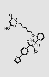 [2H]C([2H])(c1ccccc1OCCCCCC1OC(=O)C=C(O)O1)N(C(=O)c1ccc(-c2ccco2)cc1)C1CC1